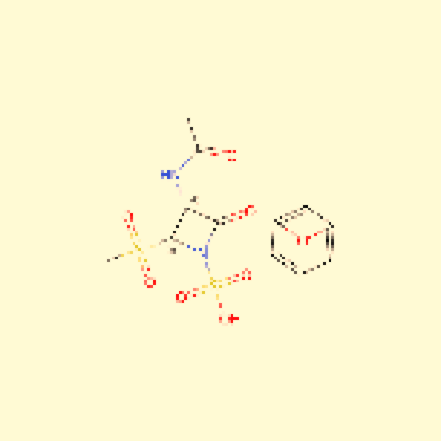 CC(=O)N[C@@H]1C(=O)N(S(=O)(=O)O)[C@@H]1S(C)(=O)=O.c1cc2cc(c1)O2